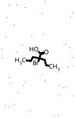 CCCC(Br)(CCC)C(=O)O